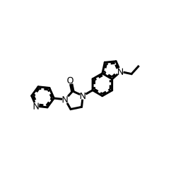 CCn1ccc2cc(N3CCN(c4cccnc4)C3=O)ccc21